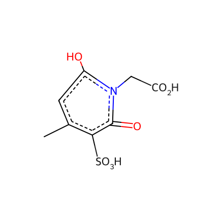 Cc1cc(O)n(CC(=O)O)c(=O)c1S(=O)(=O)O